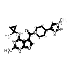 Cc1nc(NC2(C)CC2)c2c(C(=O)N3CCC(c4cn(C)nn4)CC3)coc2n1